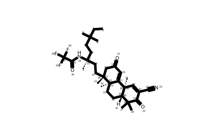 CCC(C)(C)CC[C@@](C)(CC[C@]1(C)CC(=O)C=C2[C@@]3(C)C=C(C#N)C(=O)C(C)(C)[C@@H]3CC[C@]21C)NC(=O)C(F)(F)F